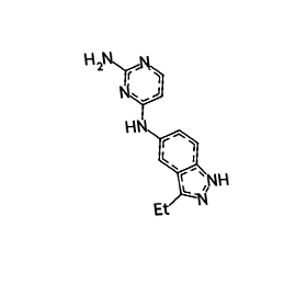 CCc1n[nH]c2ccc(Nc3ccnc(N)n3)cc12